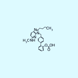 CCCCc1nc2ccc(NC)nc2n1Cc1ccc(-c2ccccc2OC(=O)O)cc1